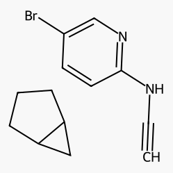 C#CNc1ccc(Br)cn1.C1CC2CC2C1